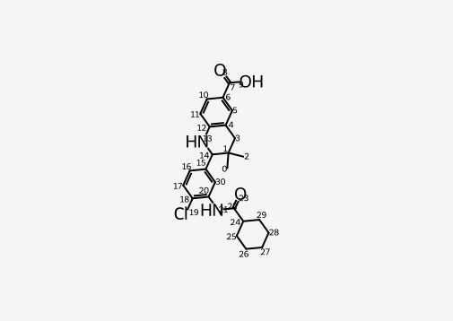 CC1(C)Cc2cc(C(=O)O)ccc2NC1c1ccc(Cl)c(NC(=O)C2CCCCC2)c1